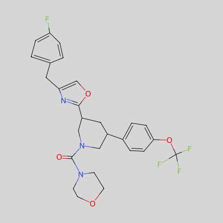 O=C(N1CCOCC1)N1CC(c2ccc(OC(F)(F)F)cc2)CC(c2nc(Cc3ccc(F)cc3)co2)C1